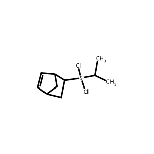 CC(C)[Si](Cl)(Cl)C1CC2C=CC1C2